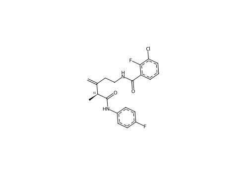 C=C(CCNC(=O)c1cccc(Cl)c1F)[C@H](C)C(=O)Nc1ccc(F)cc1